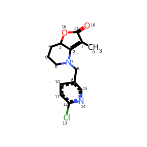 CC1=C2C(CCCN2Cc2ccc(Cl)nc2)OC1=O